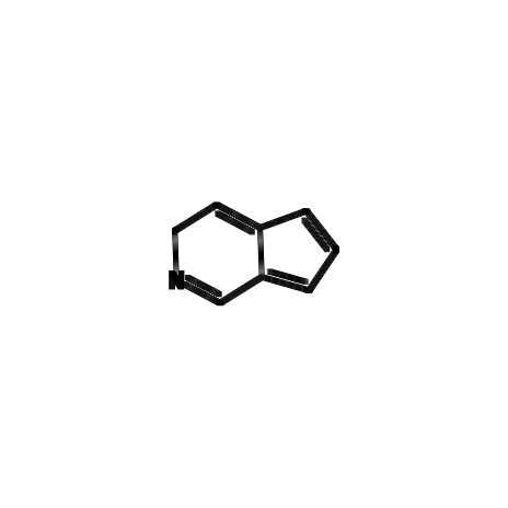 C1=CC2=CCN=CC2=C1